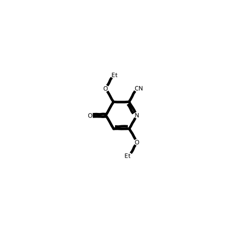 CCOC1=CC(=O)C(OCC)C(C#N)=N1